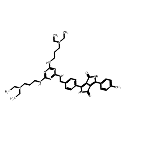 CCN(CC)CCCNc1nc(NCCCN(CC)CC)nc(NCc2ccc(C3=C4C(=O)NC(c5ccc(C)cc5)=C4C(=O)N3)cc2)n1